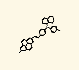 Cc1ccc(N(c2ccc(C=Cc3cc4ccc5cc(C)cc6ccc(c3)c4c56)cc2)c2cccc3c2CCCC3)cc1